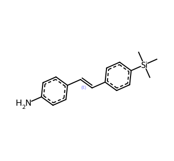 C[Si](C)(C)c1ccc(/C=C/c2ccc(N)cc2)cc1